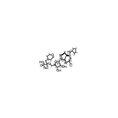 CC(CN1CCOCC1)(OC[C@H]1O[C@@H](n2ncc3c(NC4CCCC4)nc(Cl)nc32)[C@H](O)[C@@H]1O)P(=O)(O)O